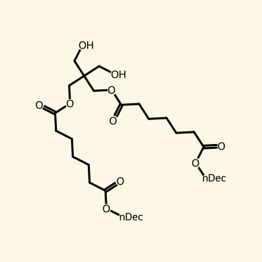 CCCCCCCCCCOC(=O)CCCCCC(=O)OCC(CO)(CO)COC(=O)CCCCCC(=O)OCCCCCCCCCC